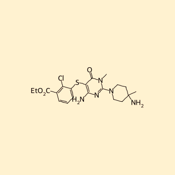 CCOC(=O)c1cccc(Sc2c(N)nc(N3CCC(C)(N)CC3)n(C)c2=O)c1Cl